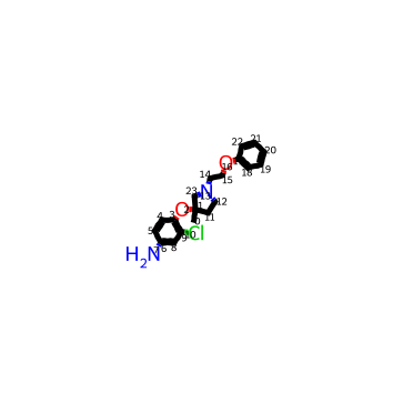 CC1(Oc2ccc(N)cc2Cl)CCN(CCOc2ccccc2)C1